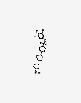 CCCCC[C@H]1CC[C@H](C2CCC(c3ccc(C(F)(F)Oc4cc(F)c(F)c(F)c4)cc3)CC2)CC1